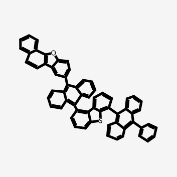 c1ccc(-c2c3ccccc3c(-c3cccc4c3sc3cccc(-c5c6ccccc6c(-c6ccc7oc8c9ccccc9ccc8c7c6)c6ccccc56)c34)c3ccccc23)cc1